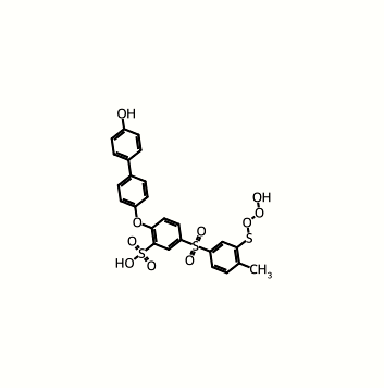 Cc1ccc(S(=O)(=O)c2ccc(Oc3ccc(-c4ccc(O)cc4)cc3)c(S(=O)(=O)O)c2)cc1SOOO